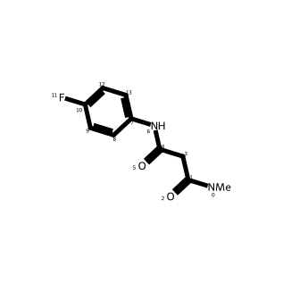 CNC(=O)CC(=O)Nc1ccc(F)cc1